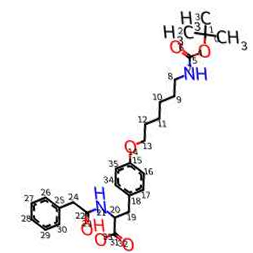 CC(C)(C)OC(=O)NCCCCCCOc1ccc(CC(NC(=O)Cc2ccccc2)C(=O)O)cc1